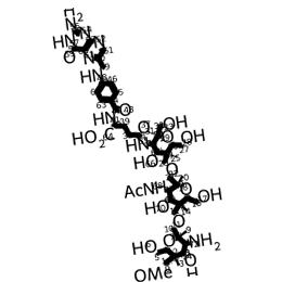 COC[C@]1(C)C(CO)O[C@](C)(COC[C@@]2(C)C(CO)O[C@@](C)(COC[C@]3(C)C(CO)O[C@](C)(CO)C(NC(=O)CCC(NC(=O)c4ccc(NCc5cnc6nc(N)[nH]c(=O)c6n5)cc4)C(=O)O)[C@@H]3O)C(NC(C)=O)[C@@H]2O)C(N)[C@@H]1O